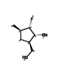 C[C@@H]1C[C@H](CO)[C@@H](O)[C@H]1F